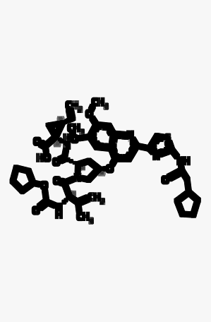 C=C[C@@H]1C[C@]1(NC(=O)[C@@H]1C[C@@H](Oc2cc(-c3csc(NC(=O)CC4CCCC4)n3)nc3cc(OC)c(OC)cc23)CN1C(=O)[C@@H](NC(=O)OC1CCCC1)C(=C)C)C(=O)O